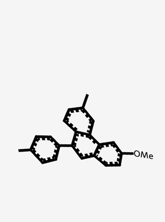 COc1ccc2cc(-c3ccc(C)cc3)c3ccc(C)cc3c2c1